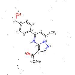 COC(=O)c1cnn2c(C(F)(F)F)cc(-c3ccc(CO)cc3)nc12